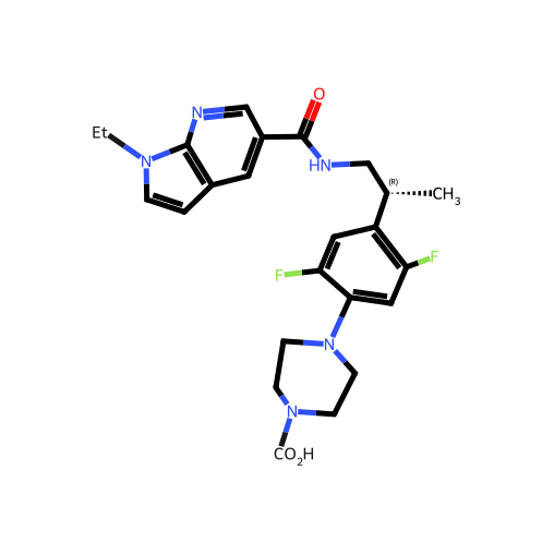 CCn1ccc2cc(C(=O)NC[C@H](C)c3cc(F)c(N4CCN(C(=O)O)CC4)cc3F)cnc21